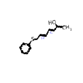 C=C(O)/C=C/C=C/CSc1ccccc1